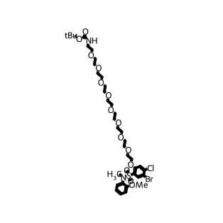 COc1ccccc1N(C)S(=O)(=O)c1cc(Br)c(Cl)cc1OCCOCCOCCOCCOCCOCCOCCOCCOCCNC(=O)OC(C)(C)C